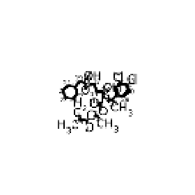 CC(OC(=O)C(C)C)OC(=O)N(C(O)CCP(=O)(O)CC1CCCCC1)[C@H](C)c1ccc(Cl)c(Cl)c1